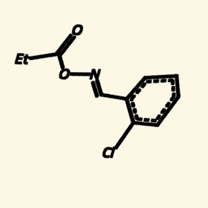 CCC(=O)ON=Cc1ccccc1Cl